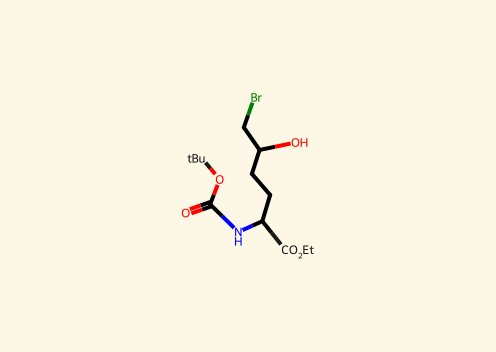 CCOC(=O)C(CCC(O)CBr)NC(=O)OC(C)(C)C